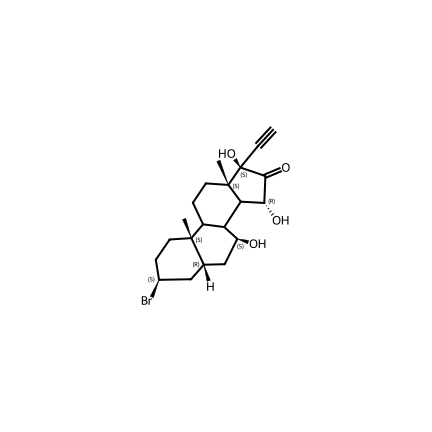 C#C[C@]1(O)C(=O)[C@H](O)C2C3C(CC[C@@]21C)[C@@]1(C)CC[C@H](Br)C[C@H]1C[C@@H]3O